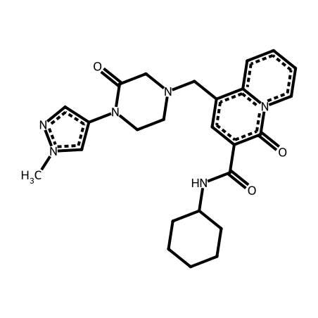 Cn1cc(N2CCN(Cc3cc(C(=O)NC4CCCCC4)c(=O)n4ccccc34)CC2=O)cn1